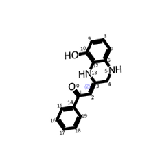 O=C(/C=C1/CNc2cccc(O)c2N1)c1ccccc1